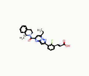 CCc1cc(C(=O)N2CCc3ccccc3[C@H]2C)nc2cc(-c3cccc(/C=C/C(=O)O)c3F)nn12